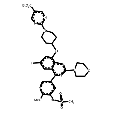 CCOC(=O)c1cnc(N2CCC(Oc3cc(F)cc4c(-c5cnc(OC)c(NS(C)(=O)=O)c5)nc(N5CCOCC5)nc34)CC2)nc1